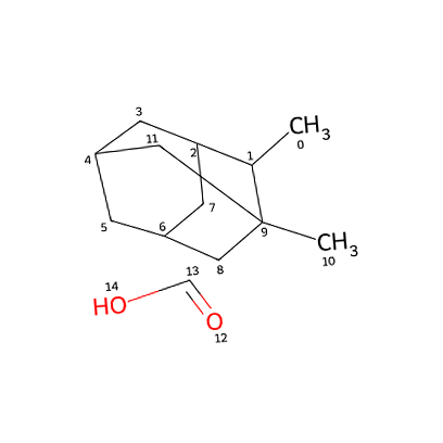 CC1C2CC3CC(C2)CC1(C)C3.O=CO